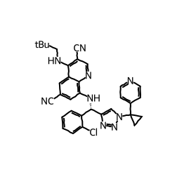 CC(C)(C)CNc1c(C#N)cnc2c(N[C@H](c3cn(C4(c5ccncc5)CC4)nn3)c3ccccc3Cl)cc(C#N)cc12